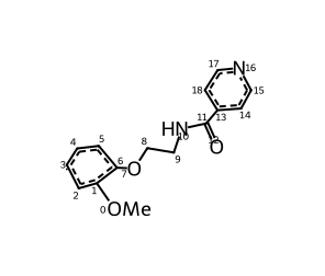 COc1c[c]ccc1OCCNC(=O)c1ccncc1